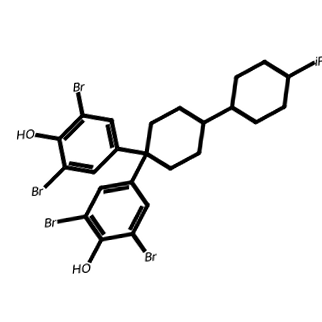 CC(C)C1CCC(C2CCC(c3cc(Br)c(O)c(Br)c3)(c3cc(Br)c(O)c(Br)c3)CC2)CC1